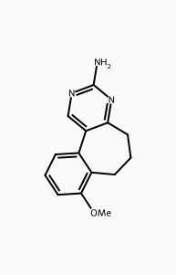 COc1cccc2c1CCCc1nc(N)ncc1-2